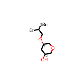 CCCCC(CC)CO[C@H]1COC[C@@H](O)C1